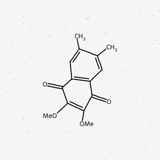 COC1=C(OC)C(=O)c2cc(C)c(C)cc2C1=O